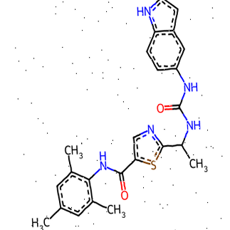 Cc1cc(C)c(NC(=O)c2cnc(C(C)NC(=O)Nc3ccc4[nH]ccc4c3)s2)c(C)c1